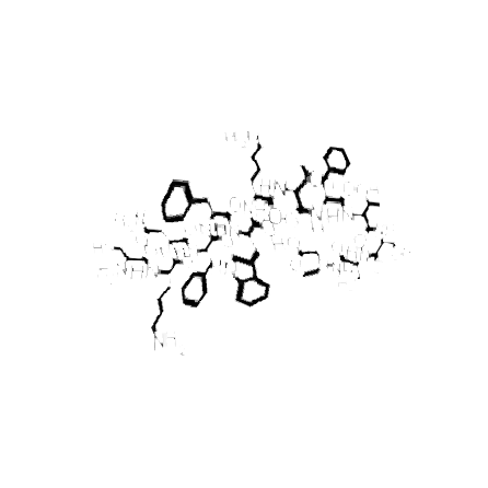 CCN(CC(=O)O)NC(=O)[C@H](CS)NC(=O)[C@H](CO)NC(=O)[C@@H](NC(=O)[C@H](Cc1ccccc1)NC(=O)[C@@H](NC(=O)[C@H](CCCCN)NC(=O)[C@@H](Cc1c[nH]c2ccccc12)NC(=O)[C@H](Cc1ccccc1)NC(=O)[C@H](Cc1ccccc1)NC(=O)[C@H](CC(N)=O)NC(=O)[C@H](CCCCN)NC(=O)[C@@H](N)CS)C(C)O)C(C)O